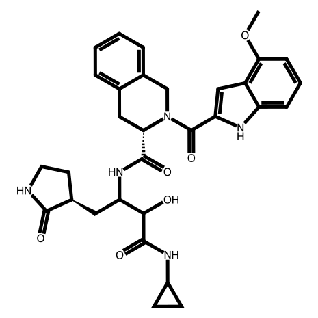 COc1cccc2[nH]c(C(=O)N3Cc4ccccc4C[C@H]3C(=O)NC(C[C@@H]3CCNC3=O)C(O)C(=O)NC3CC3)cc12